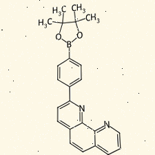 CC1(C)OB(c2ccc(-c3ccc4ccc5cccnc5c4n3)cc2)OC1(C)C